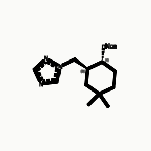 CCCCCCCCC[C@@H]1CCC(C)(C)C[C@H]1Cn1cncn1